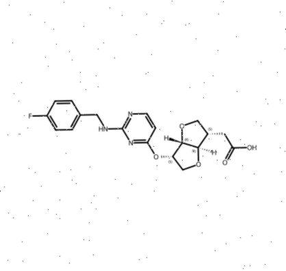 O=C(O)C[C@H]1CO[C@@H]2[C@@H]1OC[C@@H]2Oc1ccnc(NCc2ccc(F)cc2)n1